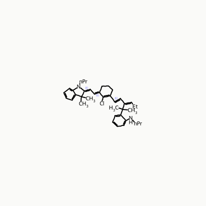 CCC=C(/C=C/C1=C(Cl)C(=C/C=C2/N(CCC)c3ccccc3C2(C)C)/CCC1)C(C)(C)c1ccccc1NCCC